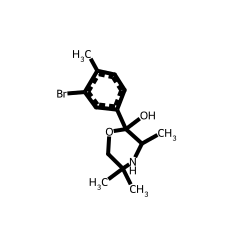 Cc1ccc(C2(O)OCC(C)(C)NC2C)cc1Br